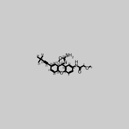 COCC(=O)Nc1ccc2c(c1)[C@@]1(COC(N)=N1)c1cc(C#CC(C)(C)C)ccc1O2